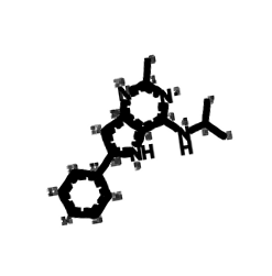 Cc1nc(NC(C)C)c2[nH]c(-c3ccccc3)cc2n1